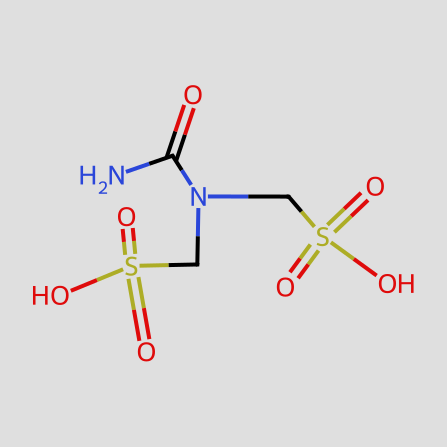 NC(=O)N(CS(=O)(=O)O)CS(=O)(=O)O